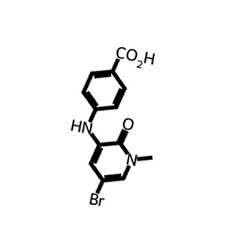 Cn1cc(Br)cc(Nc2ccc(C(=O)O)cc2)c1=O